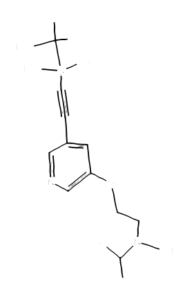 CC(C)N(C)CCOc1cncc(C#C[Si](C)(C)C(C)(C)C)c1